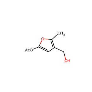 CC(=O)Oc1cc(CO)c(C)o1